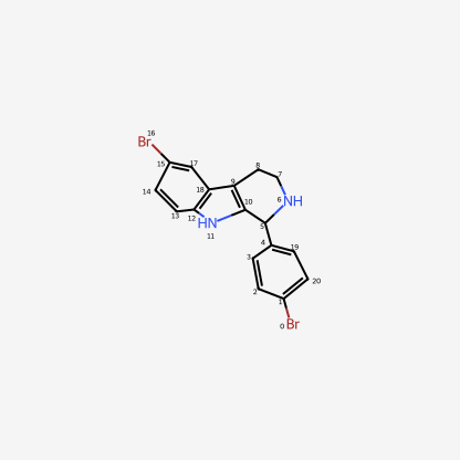 Brc1ccc(C2NCCc3c2[nH]c2ccc(Br)cc32)cc1